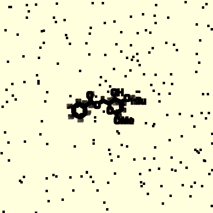 CCCCOC1=C[C@@H](OC)OC(COC(=O)c2ccccc2)[C@H]1O